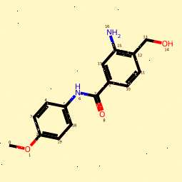 COc1ccc(NC(=O)c2ccc(CO)c(N)c2)cc1